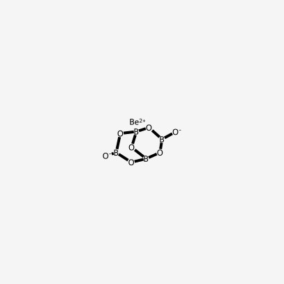 [Be+2].[O-]B1OB2OB([O-])OB(O1)O2